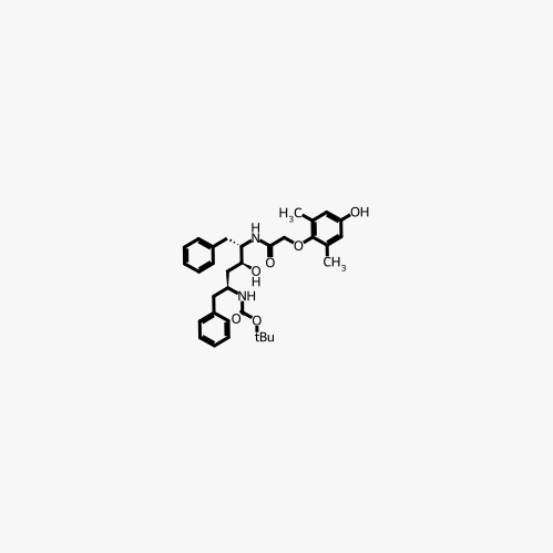 Cc1cc(O)cc(C)c1OCC(=O)N[C@@H](Cc1ccccc1)[C@@H](O)C[C@H](Cc1ccccc1)NC(=O)OC(C)(C)C